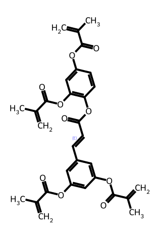 C=C(C)C(=O)Oc1cc(/C=C/C(=O)Oc2ccc(OC(=O)C(=C)C)cc2OC(=O)C(=C)C)cc(OC(=O)C(=C)C)c1